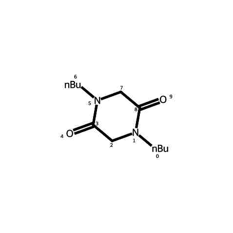 CCCCN1CC(=O)N(CCCC)CC1=O